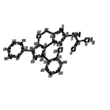 CC(=O)Nc1nc2c(s1)-c1c(c(-c3cccnc3)nn1-c1ccccc1Cl)OC2